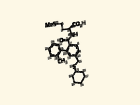 CSCC[C@H](NC(=O)c1ccc(CSC2CCCCC2)cc1-c1ccccc1C)C(=O)O